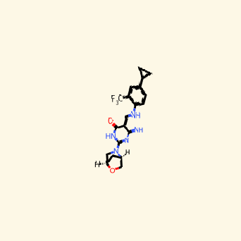 N=C1N=C(N2C[C@H]3C[C@@H]2CO3)NC(=O)/C1=C/Nc1ccc(C2CC2)cc1C(F)(F)F